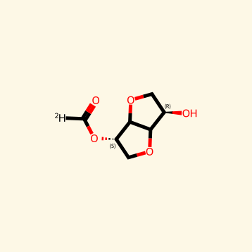 [2H]C(=O)O[C@H]1COC2C1OC[C@H]2O